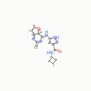 O=C(NC1CCC1)c1cc(Nc2nc(Cl)nc3ccoc23)[nH]n1